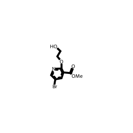 COC(=O)c1cc(Br)cnc1OCCO